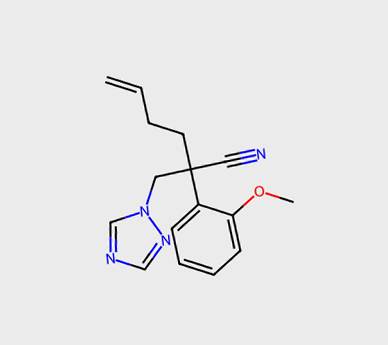 C=CCCC(C#N)(Cn1cncn1)c1ccccc1OC